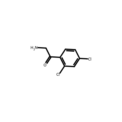 NCC(=O)c1ccc(Cl)cc1Cl